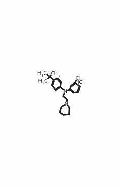 CC(C)(C)c1ccc(N(CCN2CCCCC2)c2cccc(Cl)c2)cc1.Cl